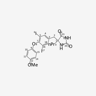 CCCC1(Cc2cc(I)c(Oc3ccc(OC)cc3)c(I)c2)NC(=O)NC1=O